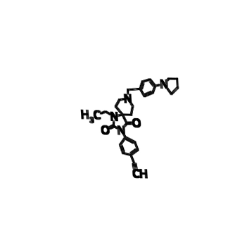 C#Cc1ccc(N2C(=O)N(CC)C3(CCN(Cc4ccc(N5CCCC5)cc4)CC3)C2=O)cc1